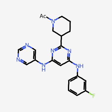 CC(=O)N1CCCC(c2nc(Nc3cncnc3)cc(Nc3cccc(F)c3)n2)C1